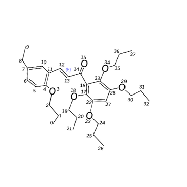 CCCOc1ccc(CC)cc1/C=C/C(=O)c1c(OCCC)c(OCCC)cc(OCCC)c1OCCC